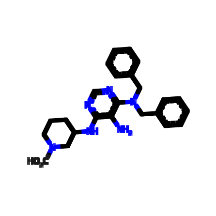 Nc1c(NC2CCCN(C(=O)O)C2)ncnc1N(Cc1ccccc1)Cc1ccccc1